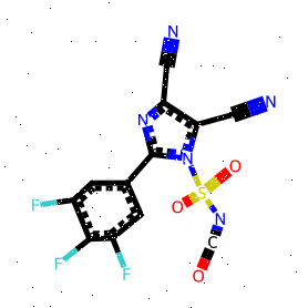 N#Cc1nc(-c2cc(F)c(F)c(F)c2)n(S(=O)(=O)N=C=O)c1C#N